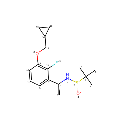 C[C@H](N[S@@+]([O-])C(C)(C)C)c1cccc(OCC2CC2)c1F